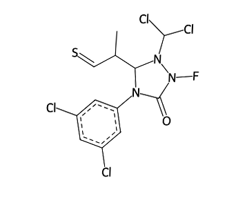 CC(C=S)C1N(c2cc(Cl)cc(Cl)c2)C(=O)N(F)N1C(Cl)Cl